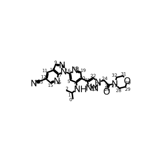 CC(C)Nc1cc(-n2ncc3cc(C#N)cnc32)ncc1-c1cn(CC(=O)N2CCOCC2)nn1